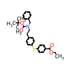 CCOC(=O)c1ccc(Sc2ccc(CCN(Cc3ccccc3)C(=O)OC(C)(C)C)cc2)cc1